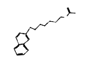 CC(=O)OCCCCCCCc1ccc2ccccc2c1